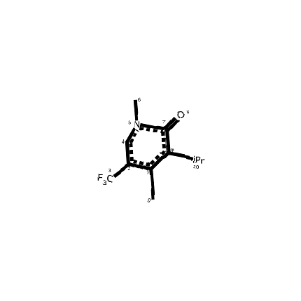 Cc1c(C(F)(F)F)cn(C)c(=O)c1C(C)C